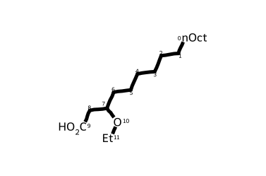 CCCCCCCCCCCCCCC(CC(=O)O)OCC